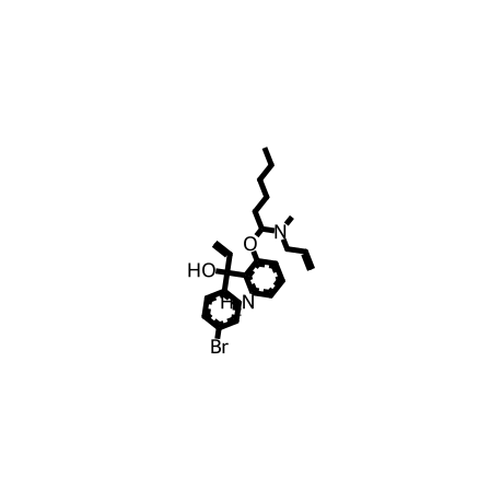 C=CCN(C)C(CCCCC)Oc1cccc(N)c1C(O)(C=C)c1ccc(Br)cc1